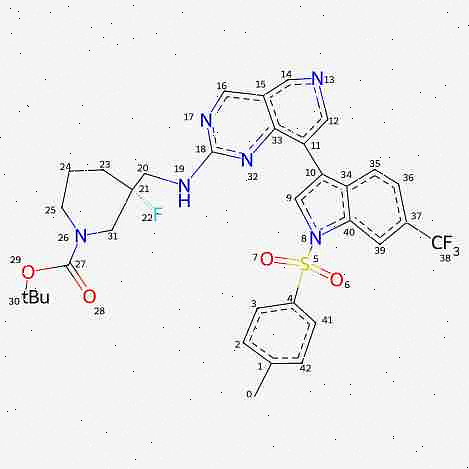 Cc1ccc(S(=O)(=O)n2cc(-c3cncc4cnc(NC[C@]5(F)CCCN(C(=O)OC(C)(C)C)C5)nc34)c3ccc(C(F)(F)F)cc32)cc1